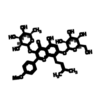 COc1ccc(-c2oc3c(CC=C(C)C)c(OC4O[C@H](CO)[C@@H](O)[C@H](O)[C@H]4O)cc(O)c3c(=O)c2OC2O[C@@H](C)[C@H](O)[C@@H](O)[C@H]2O)cc1